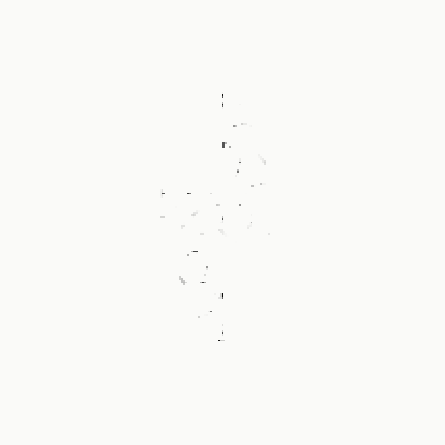 CCC(=O)Nc1cccc(N(C(=O)C(=O)N(c2cccc(NC(=O)CC)c2)S(=O)(=O)C(F)(F)F)S(=O)(=O)C(F)(F)F)c1